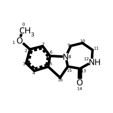 COc1ccc2c(c1)N1CCCNC(=O)C1C2